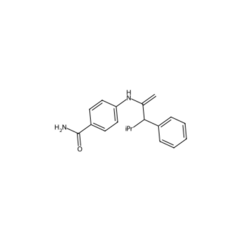 C=C(Nc1ccc(C(N)=O)cc1)C(c1ccccc1)C(C)C